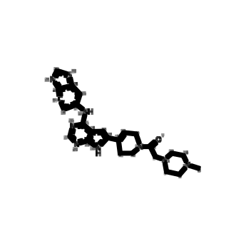 CN1CCN(CC(=O)N2CC=C(c3cc4c(Nc5ccc6ncsc6c5)ncnc4[nH]3)CC2)CC1